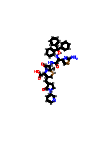 Nc1nc(C(=NOC(c2ccccc2)(c2ccccc2)c2ccccc2)C(=O)N[C@@H]2C(=O)N3C(C(=O)O)=C(C=C4CCN(c5cccnc5)C4=O)CS[C@H]23)cs1